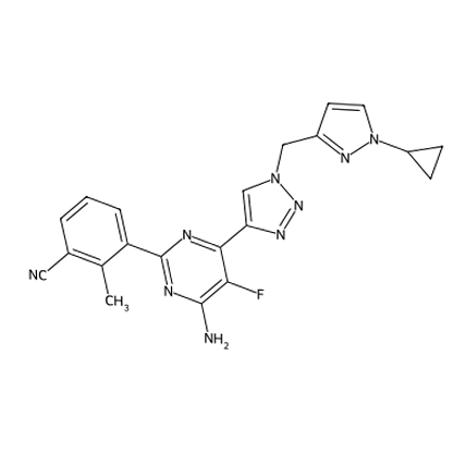 Cc1c(C#N)cccc1-c1nc(N)c(F)c(-c2cn(Cc3ccn(C4CC4)n3)nn2)n1